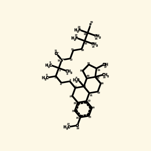 BC12C(CCC(C)C(C)(C)[S+]([O-])CCCC(P)(P)C(F)(P)P)Cc3cc(OC)ccc3C1CCC1(C)C(O)CCC12